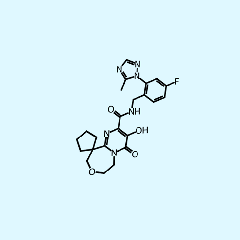 Cc1ncnn1-c1cc(F)ccc1CNC(=O)c1nc2n(c(=O)c1O)CCOCC21CCCC1